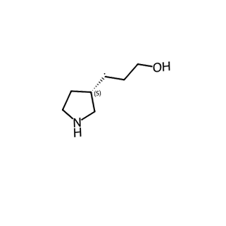 OCC[CH][C@H]1CCNC1